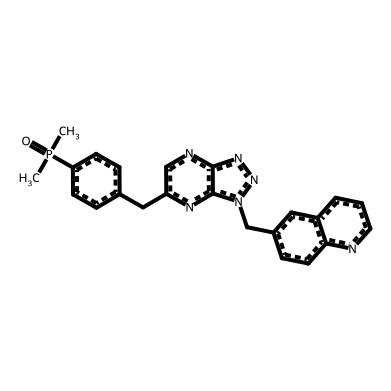 CP(C)(=O)c1ccc(Cc2cnc3nnn(Cc4ccc5ncccc5c4)c3n2)cc1